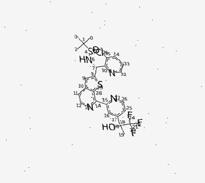 CC(C)(C)[S+]([O-])N[C@@H](c1cc2ccnc(-c3cc(C(C)(O)C(F)(F)F)ccn3)c2s1)c1ncccc1Cl